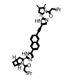 CC(C)CC(=O)N1[C@H](C)[C@H](C)C[C@H]1c1ncc(C#Cc2ccc3cc(-c4cnc([C@@H]5C[C@H]6CC[C@H]6N5C(=O)CC(C)C)[nH]4)ccc3c2)[nH]1